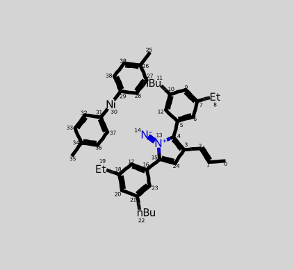 CC=CC1=C(c2cc(CC)cc(CCCC)c2)[N+](=[N-])C(c2cc(CC)cc(CCCC)c2)=C1.Cc1cc[c]([Ni][c]2ccc(C)cc2)cc1